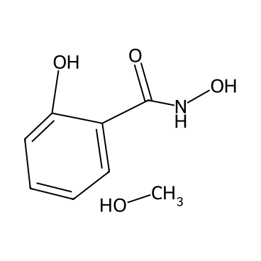 CO.O=C(NO)c1ccccc1O